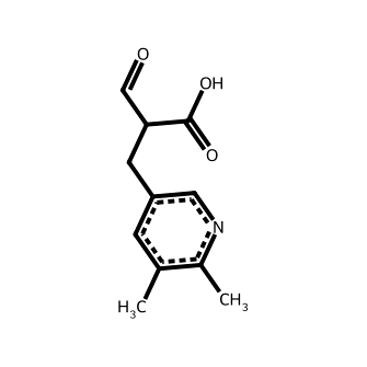 Cc1cc(CC(C=O)C(=O)O)cnc1C